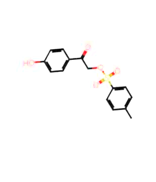 Cc1ccc(S(=O)(=O)OCC(=O)c2ccc(O)cc2)cc1